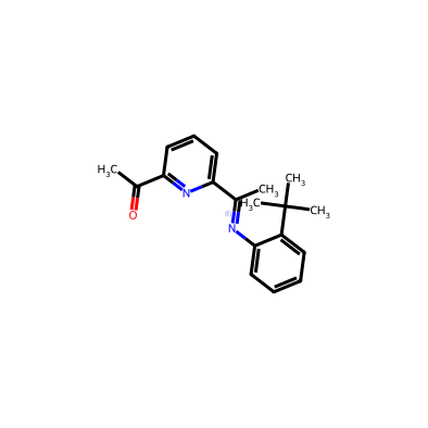 CC(=O)c1cccc(/C(C)=N/c2ccccc2C(C)(C)C)n1